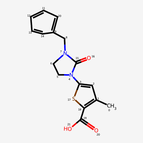 Cc1cc(N2CCN(Cc3ccccc3)C2=O)sc1C(=O)O